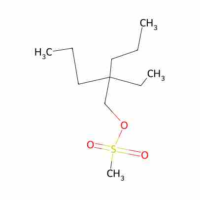 CCCC(CC)(CCC)COS(C)(=O)=O